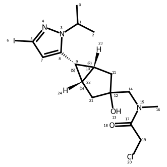 CC(C)n1nc(I)cc1[C@@H]1[C@@H]2CC(O)(CN(C)C(=O)CCl)C[C@@H]21